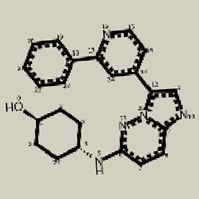 O[C@H]1CC[C@H](Nc2ccc3ncc(-c4ccnc(-c5ccccc5)c4)n3n2)CC1